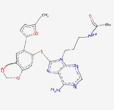 Cc1ccc(-c2cc3c(cc2Sc2nc4c(N)ncnc4n2CCCNC(=O)C(C)(C)C)OCO3)o1